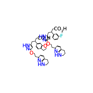 O=C(O)CC(Cc1cc(OCCc2ccc3c(n2)NCCC3)n[nH]1)c1ccc2c(c1)OCC2.O=C(O)CC(Cc1cc(OCCc2ccc3c(n2)NCCC3)n[nH]1)c1cccc(F)c1